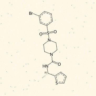 C[C@H](NC(=O)N1CCN(S(=O)(=O)c2cccc(Br)c2)CC1)c1cccs1